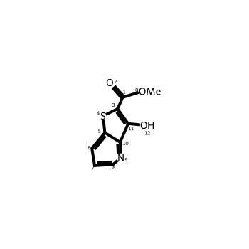 COC(=O)c1sc2cccnc2c1O